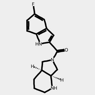 O=C(c1cc2cc(F)ccc2[nH]1)N1C[C@@H]2CCCN[C@@H]2C1